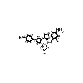 C[C@H]1CN(CCc2ccc(N)cc2F)[C@H](c2cn(-c3ccc(Br)cc3)nc2-c2cc[nH]c2)O1